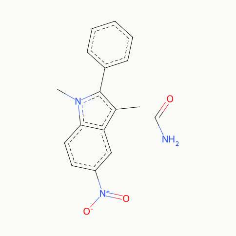 Cc1c(-c2ccccc2)n(C)c2ccc([N+](=O)[O-])cc12.NC=O